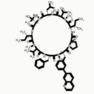 CC[C@H](C)[C@@H]1NC(=O)[C@@H]2CCCN2C(=O)[C@H](Cc2cccc(-c3ccc4cccnc4c3)c2)N(C)C(=O)[C@H](Cc2ccccc2)NC(=O)C(C(C)C)N(C)C(=O)[C@@H]([C@@H](C)CC)OC(=O)[C@H](C(C)(C)O)N(C)C(=O)[C@H](CC(C)C)NC(=O)C(C(C)C)N(C)C1=O